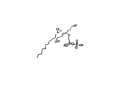 C1CO1.CCCCCCCCCCCC.O=S(=O)(O)O.OCCON(OCCO)OCCO